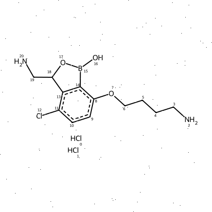 Cl.Cl.NCCCCOc1ccc(Cl)c2c1B(O)OC2CN